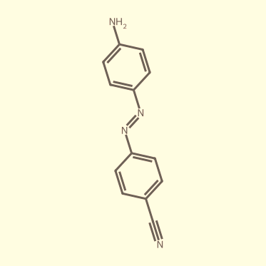 N#Cc1ccc(N=Nc2ccc(N)cc2)cc1